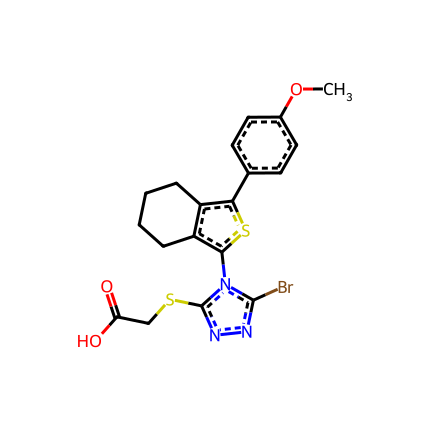 COc1ccc(-c2sc(-n3c(Br)nnc3SCC(=O)O)c3c2CCCC3)cc1